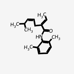 C/C=C(\C/C=C\C(C)C)C(=O)Nc1c(C)cccc1C